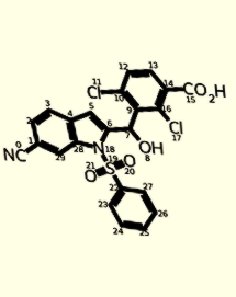 N#Cc1ccc2cc(C(O)c3c(Cl)ccc(C(=O)O)c3Cl)n(S(=O)(=O)c3ccccc3)c2c1